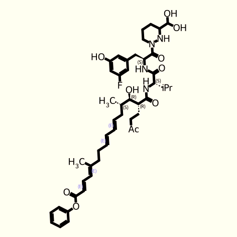 CC(=O)CC[C@@H](C(=O)N[C@H](C(=O)N[C@@H](Cc1cc(O)cc(F)c1)C(=O)N1CCCC(C(O)O)N1)C(C)C)[C@H](O)[C@@H](C)C/C=C/C=C/CC/C(C)=C/C=C/C(=O)Oc1ccccc1